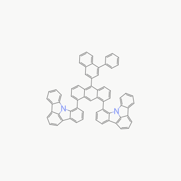 c1ccc(-c2cc(-c3c4cccc(-c5cccc6c7cccc8c9ccccc9n(c56)c87)c4cc4c(-c5cccc6c7cccc8c9ccccc9n(c56)c87)cccc34)cc3ccccc23)cc1